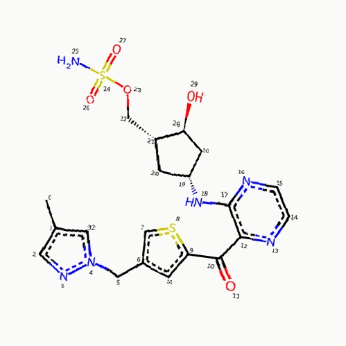 Cc1cnn(Cc2csc(C(=O)c3nccnc3N[C@@H]3C[C@H](COS(N)(=O)=O)[C@@H](O)C3)c2)c1